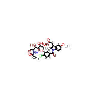 COc1ccc2c(c1)c(CC(=O)OOC[C@@H](O)[C@@H](O)[C@H](O)[C@@H](C=O)NC(C)=O)c(C)n2C(=O)c1ccc(Cl)cc1